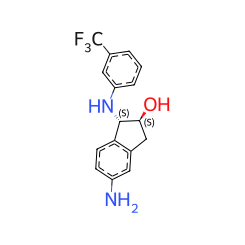 Nc1ccc2c(c1)C[C@H](O)[C@H]2Nc1cccc(C(F)(F)F)c1